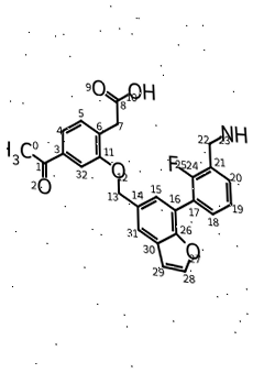 CC(=O)c1ccc(CC(=O)O)c(OCc2cc(-c3cccc(CN)c3F)c3occc3c2)c1